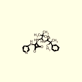 CC(C)(C(=O)NC(Nc1c(Nc2cccnc2)c(=O)c1=O)C(C)(C)C)c1ccccc1